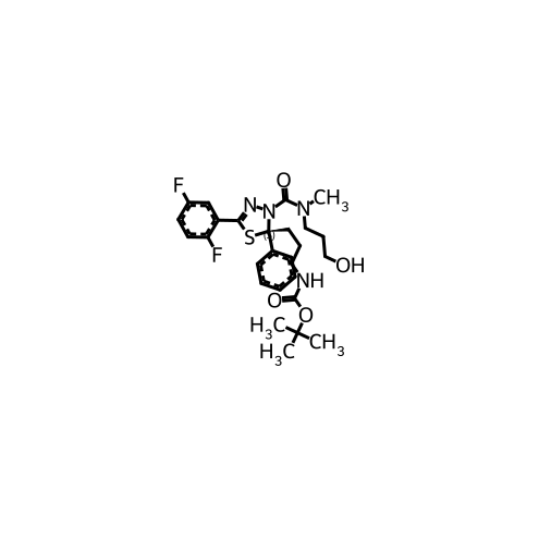 CN(CCCO)C(=O)N1N=C(c2cc(F)ccc2F)S[C@@]1(CCCNC(=O)OC(C)(C)C)c1ccccc1